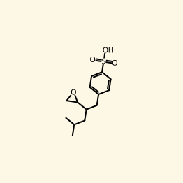 CC(C)CC(Cc1ccc(S(=O)(=O)O)cc1)C1CO1